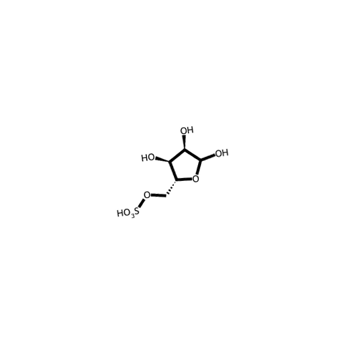 O=S(=O)(O)OC[C@H]1OC(O)[C@H](O)[C@@H]1O